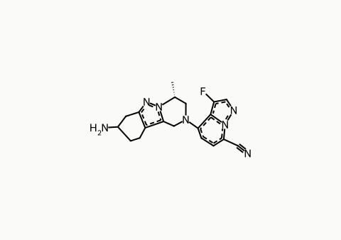 C[C@@H]1CN(c2ccc(C#N)n3ncc(F)c23)Cc2c3c(nn21)CC(N)CC3